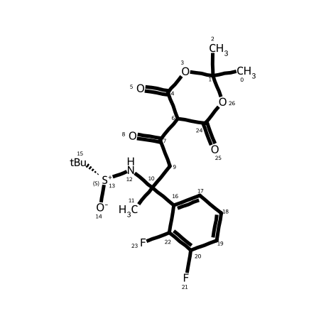 CC1(C)OC(=O)C(C(=O)CC(C)(N[S@+]([O-])C(C)(C)C)c2cccc(F)c2F)C(=O)O1